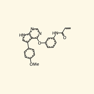 C=CC(=O)Nc1cccc(Oc2ncnc3[nH]cc(-c4ccc(OC)cc4)c23)c1